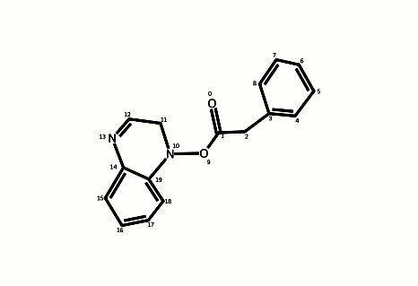 O=C(Cc1ccccc1)ON1CC=Nc2ccccc21